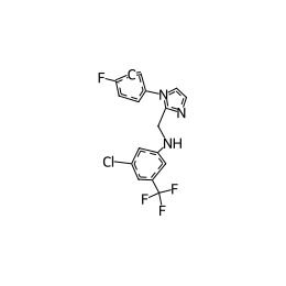 Fc1ccc(-n2ccnc2CNc2cc(Cl)cc(C(F)(F)F)c2)cc1